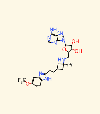 CC(C)C1(NC[C@H]2O[C@@H](n3cnc4c(N)ncnc43)[C@@H](O)[C@H]2O)CC(CCc2nc3cc(OC(F)(F)F)ccc3[nH]2)C1